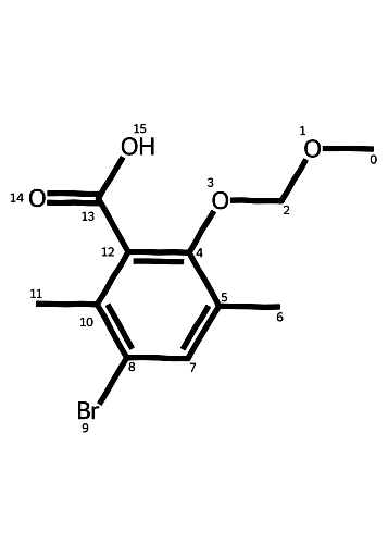 COCOc1c(C)cc(Br)c(C)c1C(=O)O